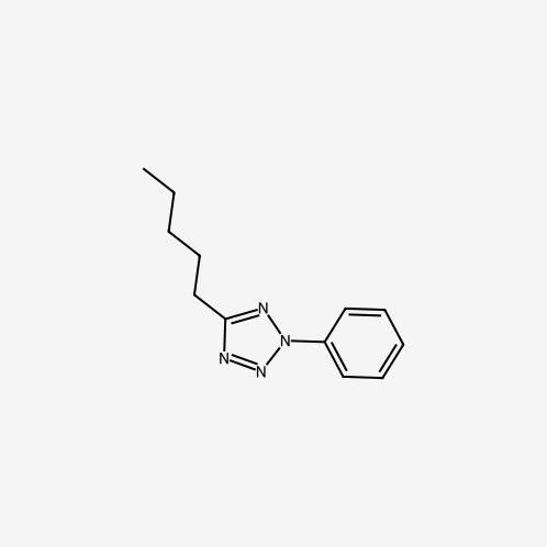 CCCCCc1nnn(-c2ccccc2)n1